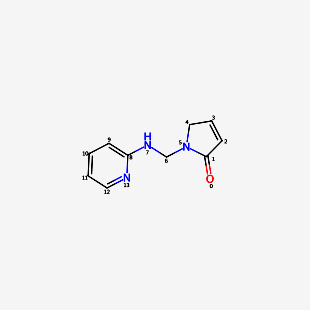 O=C1C=CCN1CNc1ccccn1